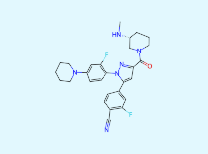 CN[C@@H]1CCCN(C(=O)c2cc(-c3ccc(C#N)c(F)c3)n(-c3ccc(N4CCCCC4)cc3F)n2)C1